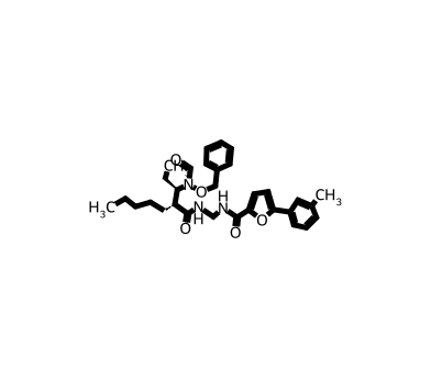 CCCCC[C@@H](C(=O)NCNC(=O)c1ccc(-c2cccc(C)c2)o1)[C@@H](CC)N(C=O)OCc1ccccc1